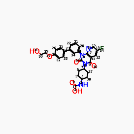 O=C(O)NC1CCC(n2c(=O)c3cc(F)cnc3n(-c3cccc(-c4ccc(OCCO)cc4)c3)c2=O)CC1